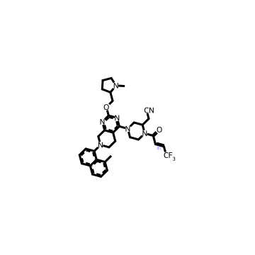 Cc1cccc2cccc(N3CCc4c(nc(OCC5CCCN5C)nc4N4CCN(C(=O)/C=C/C(F)(F)F)C(CC#N)C4)C3)c12